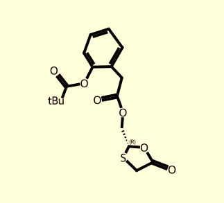 CC(C)(C)C(=O)Oc1ccccc1CC(=O)OC[C@@H]1OC(=O)CS1